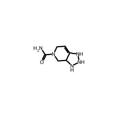 NC(=O)N1CC=C2NNNC2C1